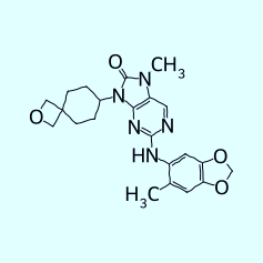 Cc1cc2c(cc1Nc1ncc3c(n1)n(C1CCC4(CC1)COC4)c(=O)n3C)OCO2